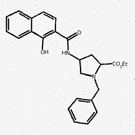 CCOC(=O)C1CC(NC(=O)c2ccc3ccccc3c2O)CN1Cc1ccccc1